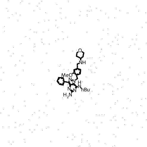 CCCCNc1nc(N)nc2c(-c3ccccc3)nn(Cc3ccc(CNC4CCOCC4)cc3OC)c12